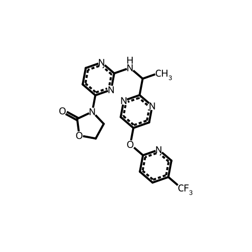 CC(Nc1nccc(N2CCOC2=O)n1)c1ncc(Oc2ccc(C(F)(F)F)cn2)cn1